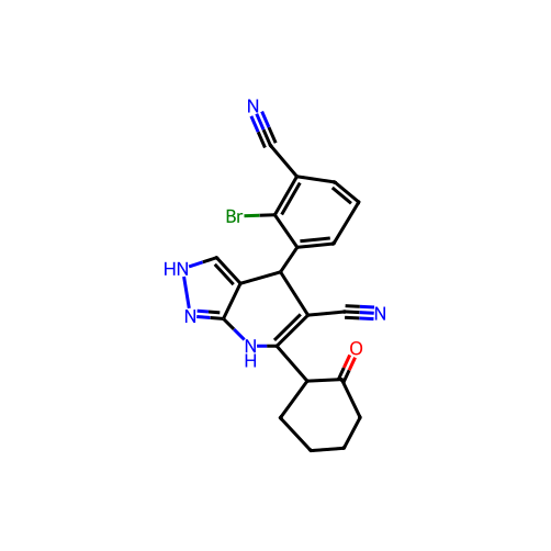 N#CC1=C(C2CCCCC2=O)Nc2n[nH]cc2C1c1cccc(C#N)c1Br